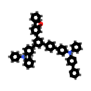 c1ccc(-c2ccc(N(c3ccccc3)c3ccc(-c4ccc(-c5cc(-c6ccc7c(c6)oc6ccccc67)cc(-c6ccc7c(c6)c6ccccc6n7-c6ccccc6)c5)cc4)cc3)cc2)cc1